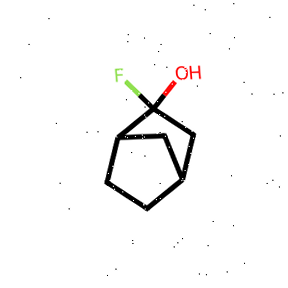 OC1(F)CC2CCC1C2